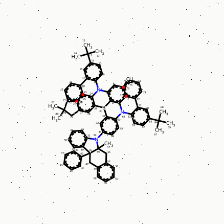 Cc1cc2c3c(c1)N(c1ccc(C(C)(C)C)cc1-c1ccccc1)c1cc4c(cc1B3c1cc(N3c5ccccc5C5(c6ccccc6)Cc6ccccc6CC35C)ccc1N2c1ccc(C(C)(C)C)cc1-c1ccccc1)CC(C)(C)C4